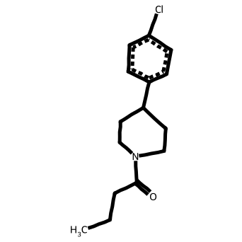 CCCC(=O)N1CCC(c2ccc(Cl)cc2)CC1